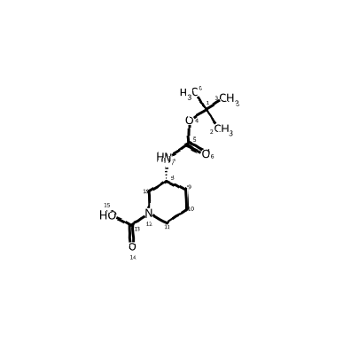 CC(C)(C)OC(=O)N[C@@H]1CCCN(C(=O)O)C1